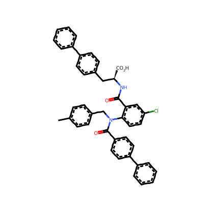 Cc1ccc(CN(C(=O)c2ccc(-c3ccccc3)cc2)c2ccc(Cl)cc2C(=O)N[C@@H](Cc2ccc(-c3ccccc3)cc2)C(=O)O)cc1